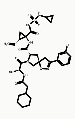 C=C[C@@H]1C[C@]1(NC(=O)[C@@H]1C[C@]2(CC(c3cccc(Cl)c3)=NO2)CN1C(=O)[C@@H](NC(=O)CC1CCCCC1)C(C)(C)C)C(=O)NS(=O)(=O)NC1CC1